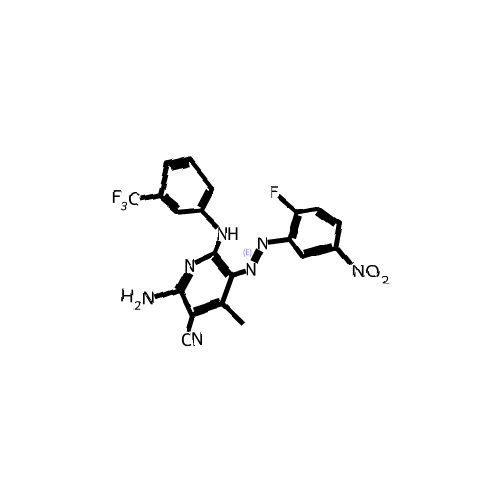 Cc1c(C#N)c(N)nc(Nc2cccc(C(F)(F)F)c2)c1/N=N/c1cc([N+](=O)[O-])ccc1F